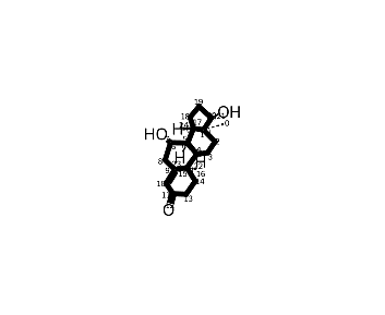 C[C@]12CC[C@H]3[C@@H](C(O)CC4=CC(=O)CC[C@@]43C)[C@@H]1CC[C@@H]2O